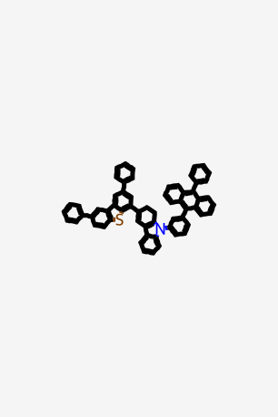 C1=C(c2cc(-c3ccccc3)cc3c2sc2ccc(-c4ccccc4)cc23)CCc2c1c1ccccc1n2-c1cccc(-c2c3ccccc3c(-c3ccccc3)c3ccccc23)c1